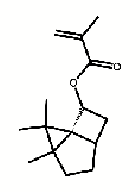 C=C(C)C(=O)OC1CC2CCC3(C)C(C)(C)[C@]213